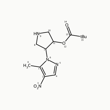 Cc1c([N+](=O)[O-])cnn1C1CNCC1OC(=O)C(C)(C)C